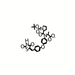 COC(=O)C(C)N(C(=O)C1CCCN1C(=O)OC(C)(C)C)c1ccc(Oc2ccc(C=C3SC(=O)NC3=O)cc2)cc1